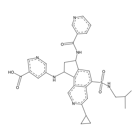 CC(C)CNS(=O)(=O)c1cc2c(c3cnc(C4CC4)cc13)C(Nc1cncc(C(=O)O)c1)CC2NC(=O)c1cccnc1